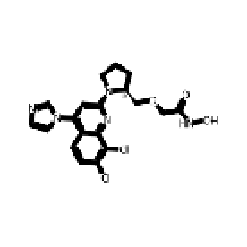 O=C(COC[C@@H]1CCCN1c1cc(-n2ccnc2)c2ccc(Cl)c(Cl)c2n1)NO